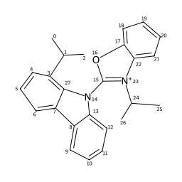 CC(C)c1cccc2c3ccccc3n(-c3oc4ccccc4[n+]3C(C)C)c12